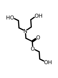 O=C(CN(CCO)CCO)OCCO